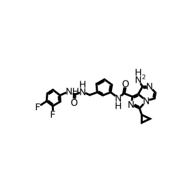 Nc1nccn2c(C3CC3)nc(C(=O)Nc3cccc(CNC(=O)Nc4ccc(F)c(F)c4)c3)c12